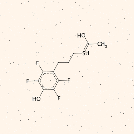 CC(O)=[SH]CCCc1c(F)c(F)c(O)c(F)c1F